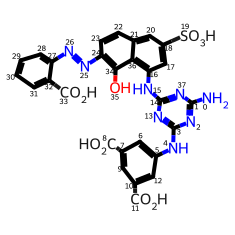 Nc1nc(Nc2cc(C(=O)O)cc(C(=O)O)c2)nc(Nc2cc(S(=O)(=O)O)cc3ccc(/N=N/c4ccccc4C(=O)O)c(O)c23)n1